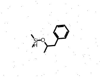 CC(Cc1ccccc1)O[SiH](C)C